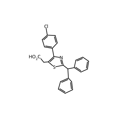 O=C(O)Cc1sc(C(c2ccccc2)c2ccccc2)nc1-c1ccc(Cl)cc1